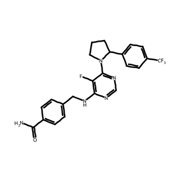 NC(=O)c1ccc(CNc2ncnc(N3CCCC3c3ccc(C(F)(F)F)cc3)c2F)cc1